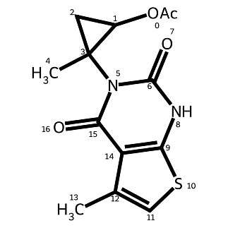 CC(=O)OC1CC1(C)n1c(=O)[nH]c2scc(C)c2c1=O